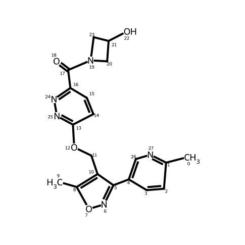 Cc1ccc(-c2noc(C)c2COc2ccc(C(=O)N3CC(O)C3)nn2)cn1